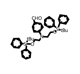 CC(C)(C)[Si](OCCN(CCO[Si](c1ccccc1)(c1ccccc1)C(C)(C)C)c1ccc(C=O)cc1)(c1ccccc1)c1ccccc1